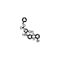 O=C(OCc1ccccc1)N1C[C@@H](O)[C@H](Nc2ccc3c(c2)Sc2cccc(Br)c2S3)C1